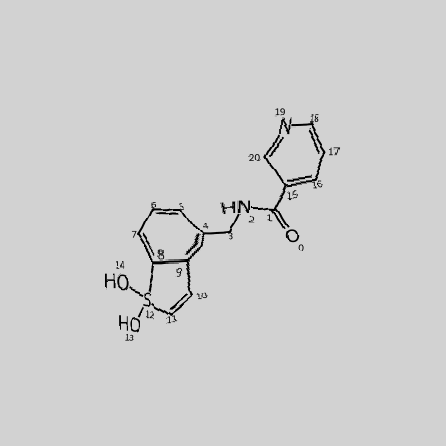 O=C(NCc1cccc2c1C=CS2(O)O)c1cccnc1